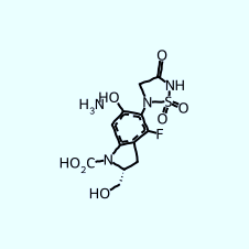 N.O=C1CN(c2c(O)cc3c(c2F)C[C@H](CO)N3C(=O)O)S(=O)(=O)N1